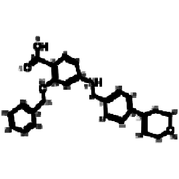 O=C(O)c1ccc(NCc2ccc(C3=CCOCC3)cc2)cc1OCc1ccccc1